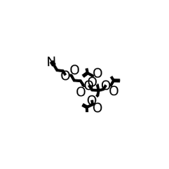 C=C(C)C(=O)OCC(COC(=O)CCC(=O)OCCC#N)(COC(=O)C(=C)C)COC(=O)C(=C)C